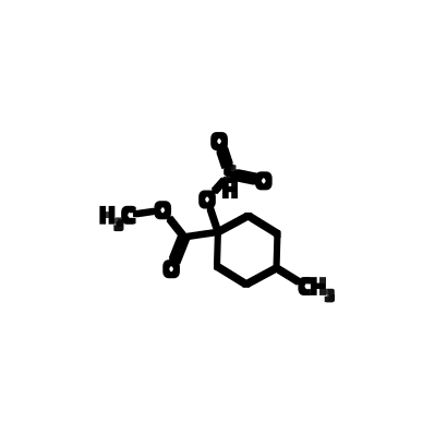 COC(=O)C1(O[SH](=O)=O)CCC(C)CC1